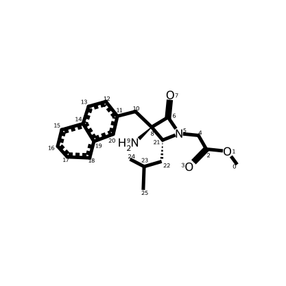 COC(=O)CN1C(=O)[C@@](N)(Cc2ccc3ccccc3c2)[C@H]1CC(C)C